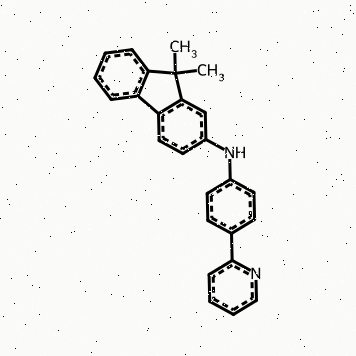 CC1(C)c2ccccc2-c2ccc(Nc3ccc(-c4ccccn4)cc3)cc21